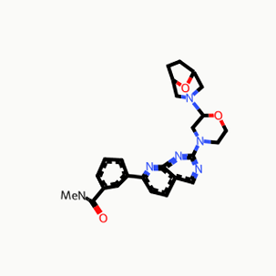 CNC(=O)c1cccc(-c2ccc3cnc(N4CCOC(N5CC6CCC(C5)O6)C4)nc3n2)c1